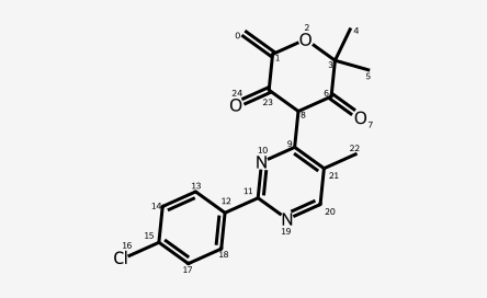 C=C1OC(C)(C)C(=O)C(c2nc(-c3ccc(Cl)cc3)ncc2C)C1=O